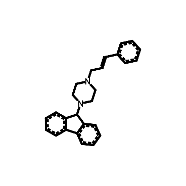 C(=Cc1ccccc1)CN1CCN(C2c3ccccc3-c3ccccc32)CC1